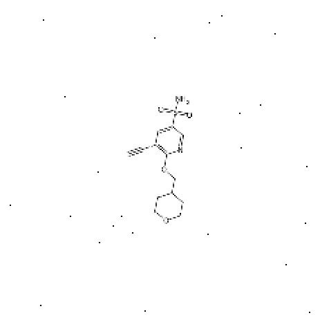 C#Cc1cc(S(N)(=O)=O)cnc1OCC1CCOCC1